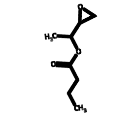 CCCC(=O)OC(C)C1CO1